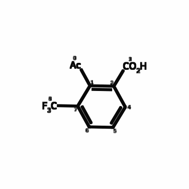 CC(=O)c1c(C(=O)O)cccc1C(F)(F)F